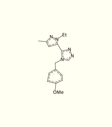 CCn1nc(C)cc1-c1nncn1Cc1ccc(OC)cc1